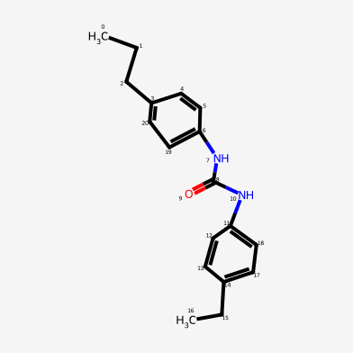 CCCc1ccc(NC(=O)Nc2ccc(CC)cc2)cc1